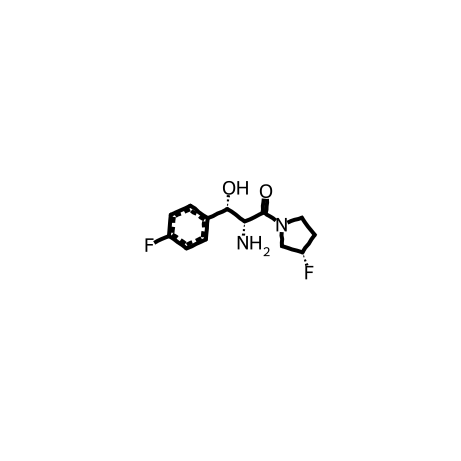 N[C@@H](C(=O)N1CC[C@H](F)C1)[C@@H](O)c1ccc(F)cc1